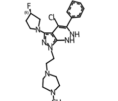 CN1CCN(CCn2nc(N3CC[C@@H](F)C3)c3c2NNC(c2ccccc2)=C3Cl)CC1